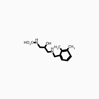 Cc1cccc(CNCC(O)CNC(=O)O)c1C